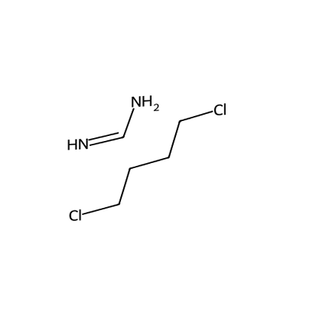 ClCCCCCl.N=CN